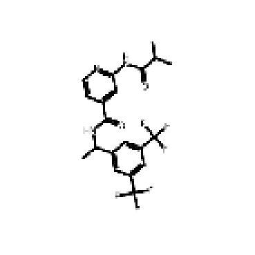 CC(C)C(=O)Nc1cc(C(=O)NC(C)c2cc(C(F)(F)F)cc(C(F)(F)F)c2)ccn1